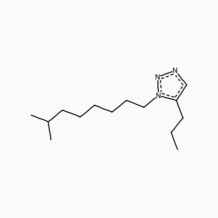 CCCc1cnnn1CCCCCCC(C)C